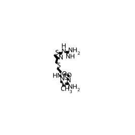 CN1CN(NCCSCc2csc(NC(=N)N)n2)S(=O)(=O)N=C1N